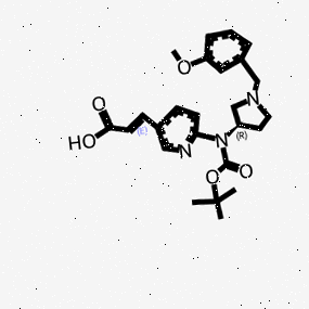 COc1cccc(CN2CC[C@@H](N(C(=O)OC(C)(C)C)c3ccc(/C=C/C(=O)O)cn3)C2)c1